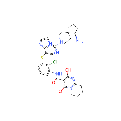 N[C@@H]1CCCC12CCN(c1ncc(Sc3cccc(NC(=O)c4c(O)nc5n(c4=O)CCCC5)c3Cl)c3nccn13)CC2